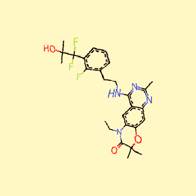 CCN1C(=O)C(C)(C)Oc2cc3nc(C)nc(NCCc4cccc(C(F)(F)C(C)(C)O)c4F)c3cc21